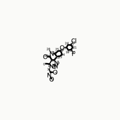 C=C(NCC(=O)N=O)c1c(N=O)c2ccc(Oc3cc(F)cc(Cl)c3)cc2n(C)c1=O